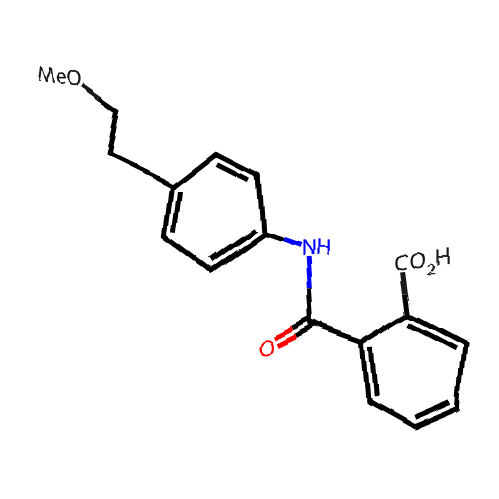 COCCc1ccc(NC(=O)c2ccccc2C(=O)O)cc1